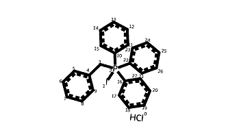 Cl.IP(Cc1ccccc1)(c1ccccc1)(c1ccccc1)c1ccccc1